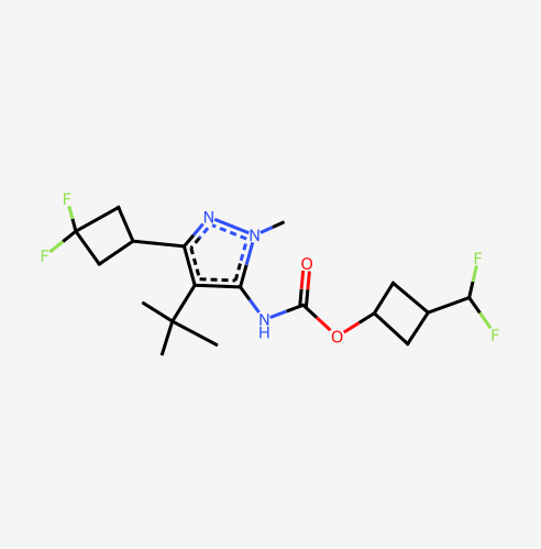 Cn1nc(C2CC(F)(F)C2)c(C(C)(C)C)c1NC(=O)OC1CC(C(F)F)C1